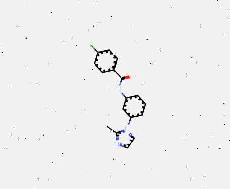 Cc1nccn1-c1cccc(NC(=O)c2ccc(Cl)cc2)c1